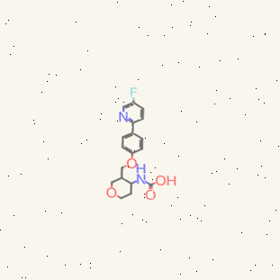 O=C(O)NC1CCOCC1COc1ccc(-c2ccc(F)cn2)cc1